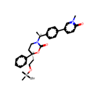 C[C@@H](c1ccc(-c2ccc(=O)n(C)c2)cc1)N1CC[C@](CCO[Si](C)(C)C(C)(C)C)(c2ccccc2)OC1=O